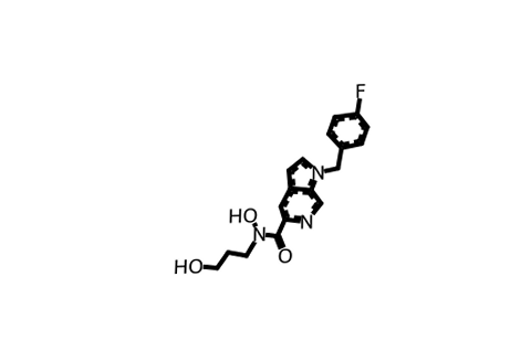 O=C(c1cc2ccn(Cc3ccc(F)cc3)c2cn1)N(O)CCCO